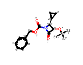 CC[Si](CC)(CC)O[C@H]1C(=O)N(C(=O)OCc2ccccc2)[C@H]1C1CC1